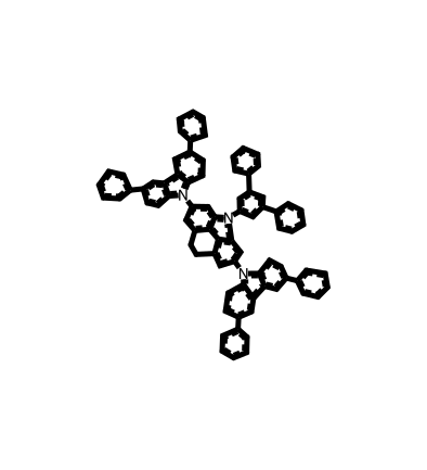 c1ccc(-c2cc(-c3ccccc3)cc(-n3c4cc(-n5c6ccc(-c7ccccc7)cc6c6cc(-c7ccccc7)ccc65)cc5c4c4c(cc(-n6c7ccc(-c8ccccc8)cc7c7cc(-c8ccccc8)ccc76)cc43)CC5)c2)cc1